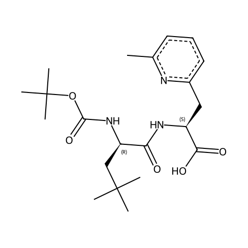 Cc1cccc(C[C@H](NC(=O)[C@@H](CC(C)(C)C)NC(=O)OC(C)(C)C)C(=O)O)n1